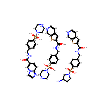 NC1CCN(S(=O)(=O)c2ccc(CNC(=O)c3cc4ccncc4s3)cc2)C1.O=C(NCc1ccc(S(=O)(=O)N2CCNCC2)cc1)c1cc2ccncc2s1.O=C(NCc1ccc(S(=O)(=O)N2CCNCC2)cc1)c1ccc2nccn2c1